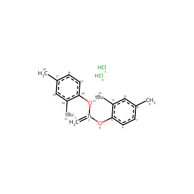 Cl.Cl.[CH2]=[Ti]([O]c1ccc(C)cc1C(C)(C)C)[O]c1ccc(C)cc1C(C)(C)C